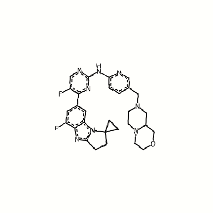 Fc1cnc(Nc2ccc(CN3CCN4CCOCC4C3)cn2)nc1-c1cc(F)c2nc3n(c2c1)C1(CC3)CC1